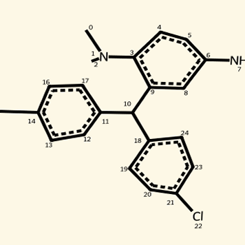 CN(C)c1ccc(N)cc1C(c1ccc(Cl)cc1)c1ccc(Cl)cc1